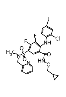 CN(Cc1ccccn1)S(=O)(=O)c1cc(C(=O)NOCC2CC2)c(Nc2ccc(I)cc2Cl)c(F)c1F